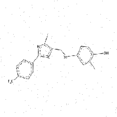 Cc1cc([Se]Cc2sc(-c3ccc(C(F)(F)F)cc3)nc2C)ccc1O